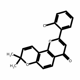 CC1(C)C=Cc2c(ccc3c(=O)cc(-c4ccccc4Cl)oc23)O1